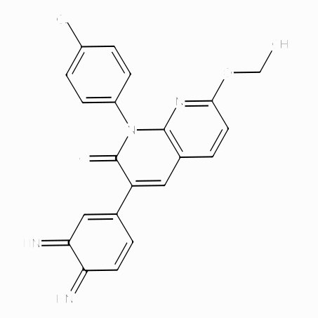 CCOc1ccc2cc(C3=CC(=N)C(=N)C=C3)c(=O)n(-c3ccc(Cl)cc3)c2n1